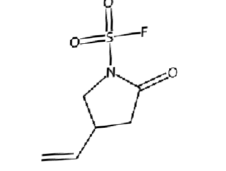 C=CC1CC(=O)N(S(=O)(=O)F)C1